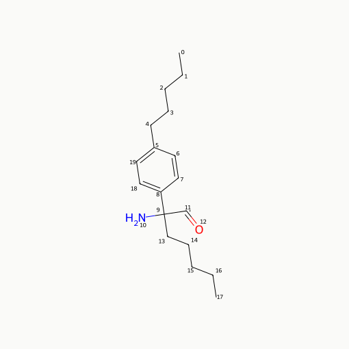 CCCCCc1ccc(C(N)([C]=O)CCCCC)cc1